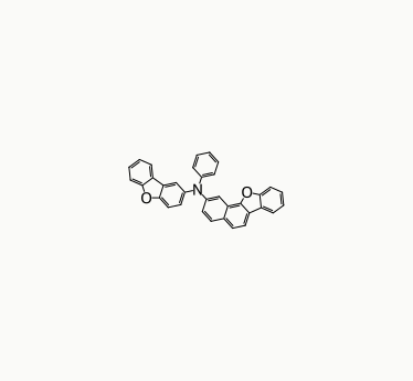 c1ccc(N(c2ccc3oc4ccccc4c3c2)c2ccc3ccc4c5ccccc5oc4c3c2)cc1